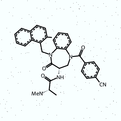 CN[C@@H](C)C(=O)N[C@H]1CN(C(=O)c2ccc(C#N)cc2)c2ccccc2N(Cc2c(C)ccc3ccccc23)C1=O